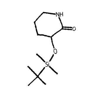 CC(C)(C)[Si](C)(C)OC1CCCNC1=O